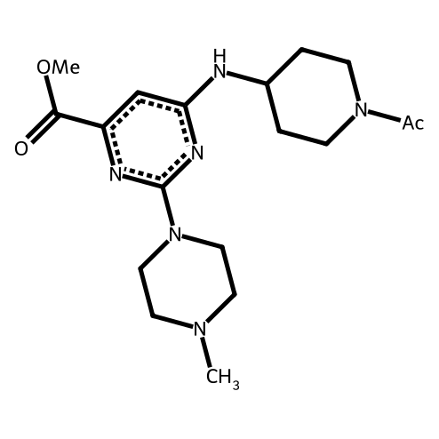 COC(=O)c1cc(NC2CCN(C(C)=O)CC2)nc(N2CCN(C)CC2)n1